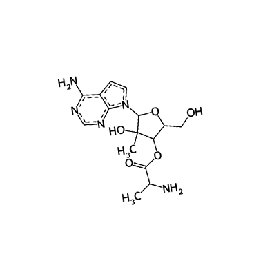 CC(N)C(=O)OC1C(CO)OC(n2ccc3c(N)ncnc32)C1(C)O